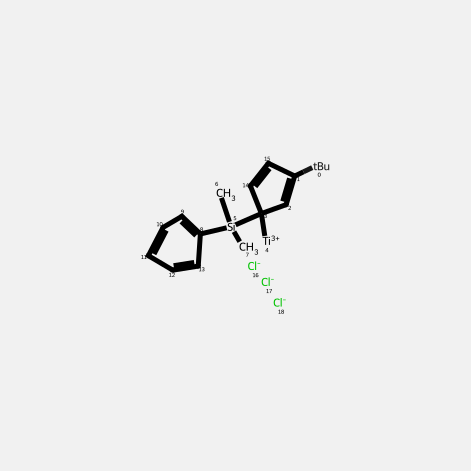 CC(C)(C)C1=C[C]([Ti+3])([Si](C)(C)c2ccccc2)C=C1.[Cl-].[Cl-].[Cl-]